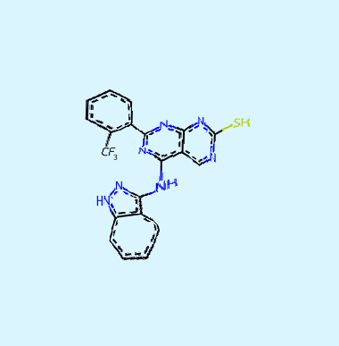 FC(F)(F)c1ccccc1-c1nc(Nc2n[nH]c3ccccc23)c2cnc(S)nc2n1